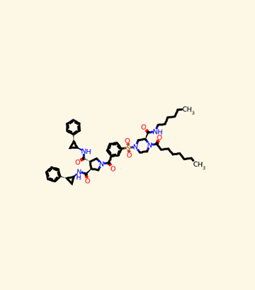 CCCCCCCC(=O)N1CCN(S(=O)(=O)c2cccc(C(=O)N3C[C@@H](C(=O)N[C@H]4C[C@@H]4c4ccccc4)[C@H](C(=O)N[C@H]4C[C@@H]4c4ccccc4)C3)c2)C[C@H]1C(=O)NCCCCCC